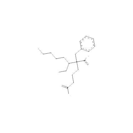 CCCCCC(CC)C(CCCC(=O)O)(Cc1ccccc1)C(=O)O